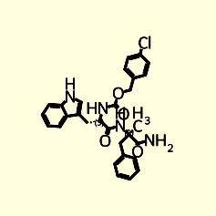 C[C@](Cc1ccccc1)(NC(=O)[C@H](Cc1c[nH]c2ccccc12)NC(=O)OCc1ccc(Cl)cc1)C(N)=O